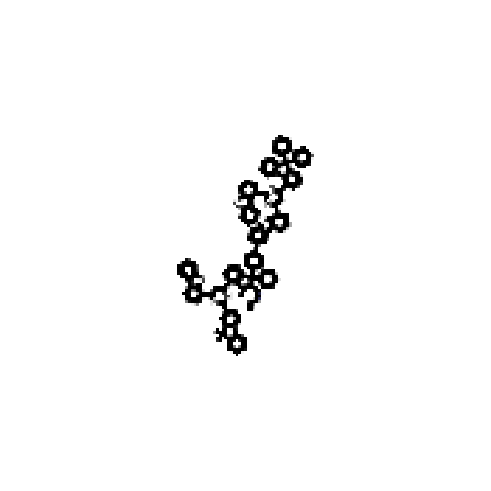 C=C/C=C\C1=C(C)c2c(-c3cc(-c4cccc5c4sc4ccccc45)nc(-c4ccc5c(c4)C(C)(C)c4ccccc4-5)n3)cccc2C1(c1ccccc1)c1ccc(-c2ccc3sc4c(-c5cc(-c6cccc7c6-c6ccccc6C7(c6ccccc6)c6ccccc6)nc(-c6cccc7oc8ccccc8c67)n5)cccc4c3c2)cc1